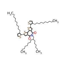 CCCCCCCCCCc1ccsc1-c1cc2c(=O)n(CC(CCCCCC)CCCCCCCC)c(=O)c3cc(-c4sccc4CCCCCCCCCC)sc3c2s1